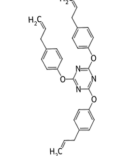 C=CCc1ccc(Oc2nc(Oc3ccc(CC=C)cc3)nc(Oc3ccc(CC=C)cc3)n2)cc1